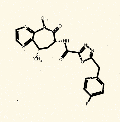 C[C@H]1C[C@@H](NC(=O)c2nnc(Cc3ccc(F)cc3)o2)C(=O)N(C)c2nccnc21